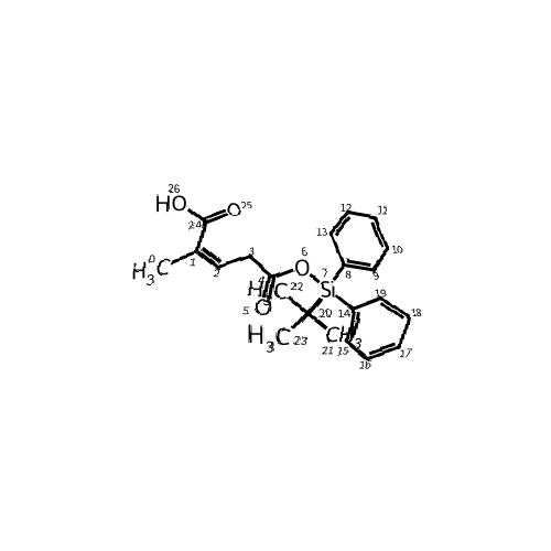 CC(=CCC(=O)O[Si](c1ccccc1)(c1ccccc1)C(C)(C)C)C(=O)O